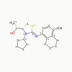 C[C@@H](O)[C@@H]1CS/C(=N\c2ccc(C#N)c3c2CCCC3)N1C1CCCC1